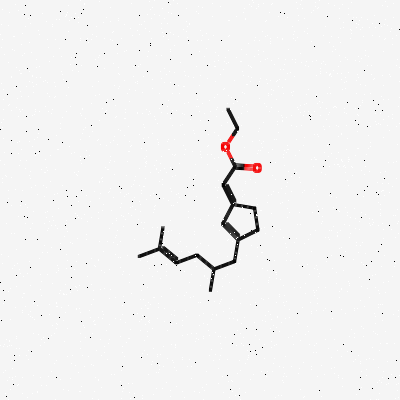 CCOC(=O)/C=C1/C=C(CC(C)CC=C(C)C)CC1